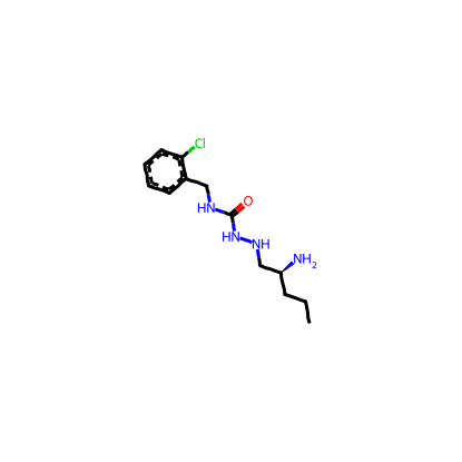 CCC[C@H](N)CNNC(=O)NCc1ccccc1Cl